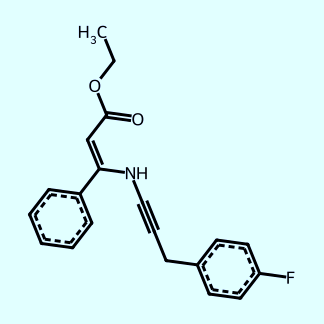 CCOC(=O)/C=C(\NC#CCc1ccc(F)cc1)c1ccccc1